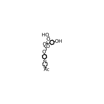 CC(=O)N1CCN(c2ccc(OCC3COC(C)(c4ccc(O)cc4OCO)O3)cc2)CC1